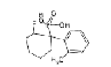 Cc1ccccc1C1(P(=O)(O)O)CCCCC1F